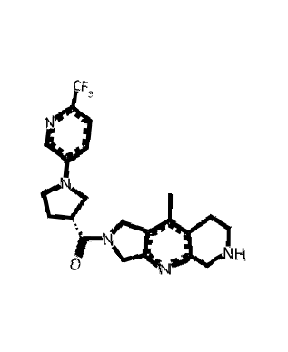 Cc1c2c(nc3c1CN(C(=O)[C@@H]1CCN(c4ccc(C(F)(F)F)nc4)C1)C3)CNCC2